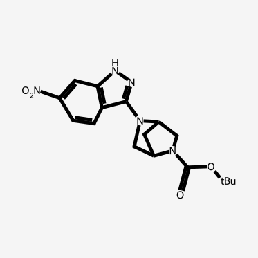 CC(C)(C)OC(=O)N1CC2CC1CN2c1n[nH]c2cc([N+](=O)[O-])ccc12